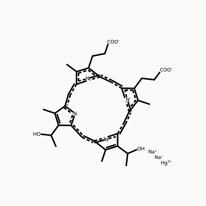 CC1=C(C(C)O)c2cc3nc(cc4[n-]c(cc5[n-]c(cc1n2)c(C)c5CCC(=O)[O-])c(CCC(=O)[O-])c4C)C(C(C)O)=C3C.[Hg+2].[Na+].[Na+]